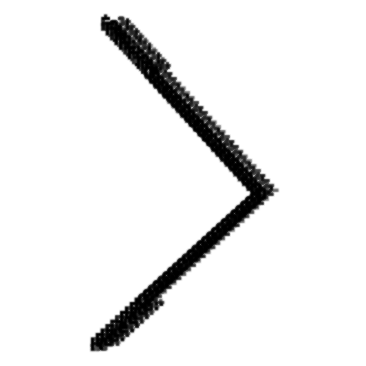 [Fe+3].[Fe+3].[Fe+3].[Fe+3].[Fe+3].[Fe+3].[Fe+3].[Fe+3].[Fe+3].[Fe+3].[Fe+3].[Fe+3].[Fe+3].[Fe+3].[Fe+3].[Fe+3].[Fe+3].[Fe+3].[Fe+3].[Fe+3].[O-2].[O-2].[O-2].[O-2].[O-2].[O-2].[O-2].[O-2].[O-2].[O-2].[O-2].[O-2].[O-2].[O-2].[O-2].[O-2].[O-2].[O-2].[O-2].[O-2].[O-2].[O-2].[O-2].[O-2].[O-2].[O-2].[O-2].[O-2].[O-2].[O-2].[O-2].[O-2].[O-2].[O-2].[O-2].[O-2].[O-2].[O-2].[O-2].[O-2].[O-2].[O-2].[O-2].[O-2].[O-2].[O-2].[O-2].[O-2].[O-2].[O-2]